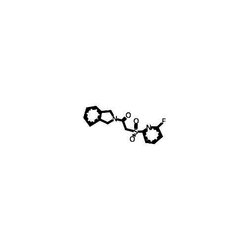 O=C(CS(=O)(=O)c1cccc(F)n1)N1Cc2ccccc2C1